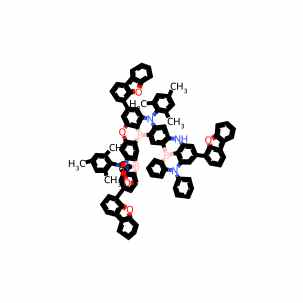 Cc1cc(C)c(N2c3cc4c(cc3B3c5cc6c(cc5Oc5cc(-c7cccc8c7oc7ccccc78)cc2c53)N(c2c(C)cc(C)cc2C)c2cc(-c3cccc5c3oc3ccccc35)cc3c2B6c2ccccc2O3)B2c3ccccc3N(c3ccccc3)c3cc(-c5cccc6c5oc5ccccc56)cc(c32)N4)c(C)c1